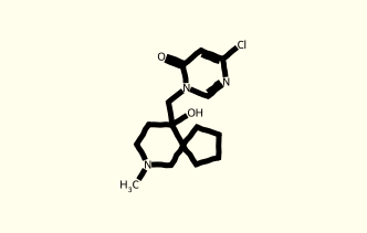 CN1CCC(O)(Cn2cnc(Cl)cc2=O)C2(CCCC2)C1